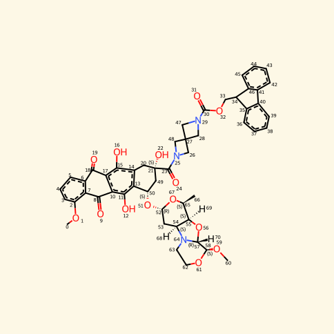 COc1cccc2c1C(=O)c1c(O)c3c(c(O)c1C2=O)C[C@@](O)(C(=O)N1CC2(CN(C(=O)OCC4c5ccccc5-c5ccccc54)C2)C1)C[C@@H]3O[C@H]1C[C@H]2[C@H](O[C@@H]3[C@@H](OC)OCCN32)[C@H](C)O1